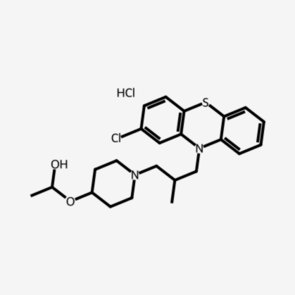 CC(CN1CCC(OC(C)O)CC1)CN1c2ccccc2Sc2ccc(Cl)cc21.Cl